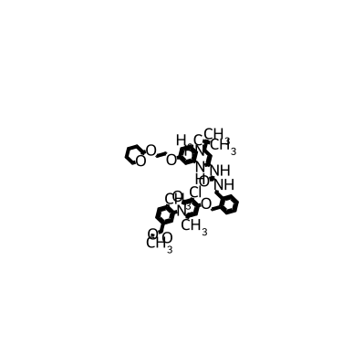 COC(=O)c1ccc(C)c(-n2c(C)cc(OCc3ccccc3CNC(=O)N/C(=C/C(=N)C(C)(C)C)Nc3cccc(OCCOC4CCCCO4)c3)c(Cl)c2=O)c1